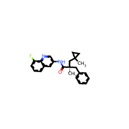 CC1(C[C@@](C)(Cc2ccccc2)C(=O)Nc2cnc3c(F)cccc3c2)CC1